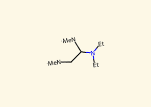 CCN(CC)C(C[N]C)[N]C